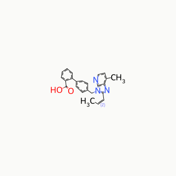 C/C=C\c1nc2c(C)ccnc2n1Cc1ccc(-c2ccccc2C(=O)O)cc1